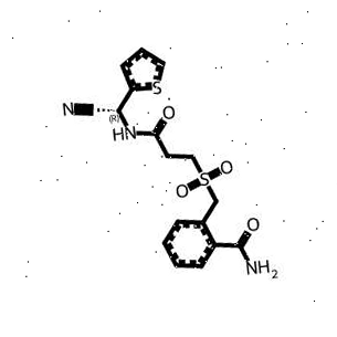 N#C[C@@H](NC(=O)[CH]CS(=O)(=O)Cc1ccccc1C(N)=O)c1cccs1